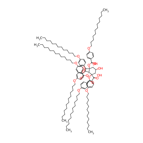 CCCCCCCCCCCCCOc1ccc(C(=O)O[C@@]2(C(=O)c3ccc(OCCCCCCCCCCCCC)cc3)[C@@](OC(=O)c3ccc(OCCCCCCCCCCCCC)cc3)(C(=O)c3ccc(OCCCCCCCCCCCCC)cc3)[C@@H](O)[C@H](O)[C@@H](O)[C@@]2(OC(=O)c2ccc(OCCCCCCCCCCCCC)cc2)C(=O)c2ccc(OCCCCCCCCCCCCC)cc2)cc1